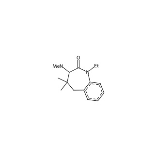 CCN1C(=O)C(NC)C(C)(C)Cc2ccccc21